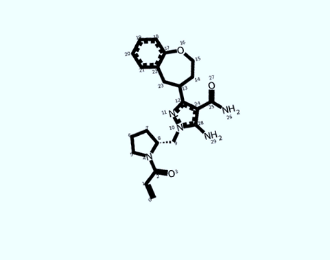 C=CC(=O)N1CCC[C@@H]1Cn1nc(C2CCOc3ccccc3C2)c(C(N)=O)c1N